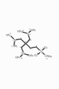 CCCN(CCC)CC(CC[Si](CC)(CC)OC)(CN(CCC)CCC)CN(CCC)CCC